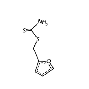 NC(=S)SCc1ccco1